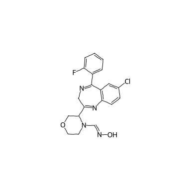 ON=CN1CCOCC1C1=Nc2ccc(Cl)cc2C(c2ccccc2F)=NC1